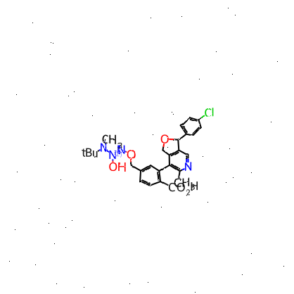 Cc1ncc2c(c1-c1cc(CO/N=[N+](\O)N(C)C(C)(C)C)ccc1C(=O)O)COC2c1ccc(Cl)cc1